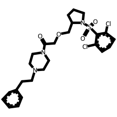 O=C(COCC1CCCN1S(=O)(=O)c1c(Cl)cccc1Cl)N1CCN(CCc2ccccc2)CC1